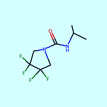 CC(C)NC(=O)N1CC(F)(F)C(F)(F)C1